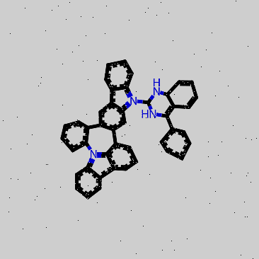 C1=CC2=C(c3ccccc3)NC(n3c4ccccc4c4cc5c(cc43)-c3cccc4c6ccccc6n(c34)-c3ccccc3-5)NC2C=C1